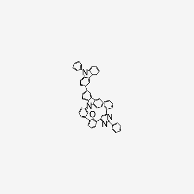 c1ccc(-c2cc(-c3cccc4c3oc3c(-n5c6ccccc6c6cc(-c7ccc8c(c7)c7ccccc7n8-c7ccccc7)ccc65)cccc34)nc(-c3ccccc3)n2)cc1